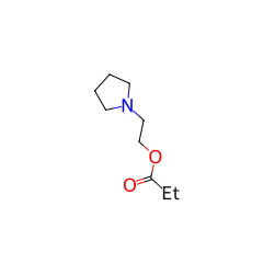 CCC(=O)OCCN1CCCC1